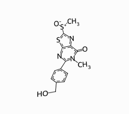 Cn1c(-c2ccc(CO)cc2)nc2sc([S+](C)[O-])nc2c1=O